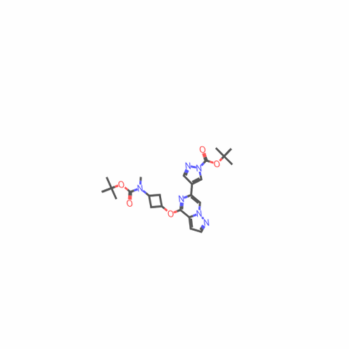 CN(C(=O)OC(C)(C)C)C1CC(Oc2nc(-c3cnn(C(=O)OC(C)(C)C)c3)cn3nccc23)C1